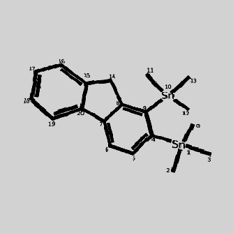 [CH3][Sn]([CH3])([CH3])[c]1ccc2c([c]1[Sn]([CH3])([CH3])[CH3])Cc1ccccc1-2